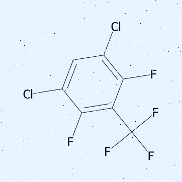 Fc1c(Cl)cc(Cl)c(F)c1C(F)(F)F